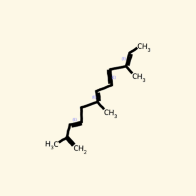 C=C(C)/C=C/C/C(C)=C/C=C/C(C)=C/C